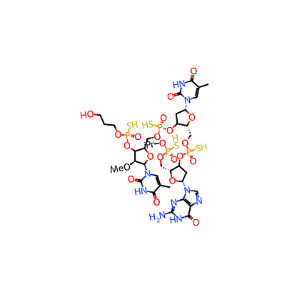 CO[C@H]1C(OP(=O)(S)OCCCO)[C@@H](COP(=O)(S)OC2C[C@H](n3cc(C)c(=O)[nH]c3=O)O[C@@H]2COP(=O)(S)OC2C[C@H](n3cnc4c(=O)[nH]c(N)nc43)O[C@@H]2COP(=O)(S)OC(C)C)O[C@H]1n1cc(C)c(=O)[nH]c1=O